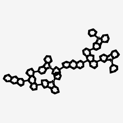 c1ccc(-n2c3ccccc3c3cc(-c4cccc5c(-c6ccc7cc8ccccc8cc7c6)c6cccc(-c7ccc8c(c7)c7ccccc7n8-c7cccc(-c8ccc9cc%10cc(-c%11c%12cccc(-c%13ccc%14c%15ccccc%15n(-c%15ccccc%15)c%14c%13)c%12cc%12c(-c%13ccc%14c%15ccccc%15n(-c%15ccccc%15)c%14c%13)cccc%11%12)ccc%10cc9c8)c7)c6cc45)ccc32)cc1